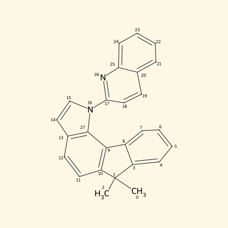 CC1(C)c2ccccc2-c2c1ccc1ccn(-c3ccc4ccccc4n3)c21